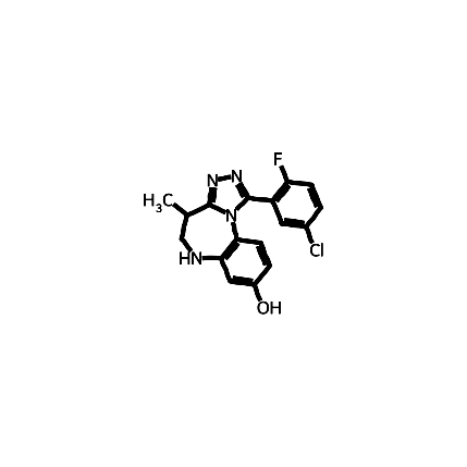 CC1CNc2cc(O)ccc2-n2c(-c3cc(Cl)ccc3F)nnc21